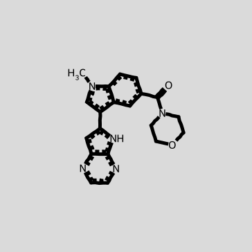 Cn1cc(-c2cc3nccnc3[nH]2)c2cc(C(=O)N3CCOCC3)ccc21